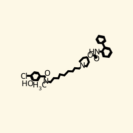 CN(CCCCCCCCCN1CCC(OC(=O)Nc2ccccc2-c2ccccc2)CC1)C(=O)c1ccc(Cl)c(O)c1